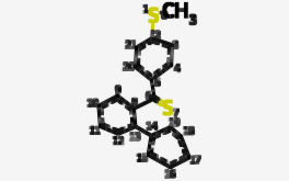 CSc1ccc(C(=S)c2ccccc2-c2ccccc2)cc1